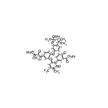 CC(C)OC(=O)c1cc(-n2c(=O)cc(C(F)(F)F)n(C)c2=O)ccc1Cl.CON(C)C(=O)Nc1ccc(Oc2ccc3c(c2)OC(C)(OC)CC3(C)C)cc1